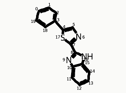 c1ccc(-c2cnc(-c3nc4ccccc4[nH]3)s2)cc1